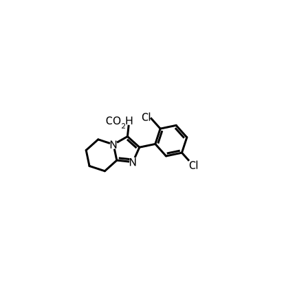 O=C(O)c1c(-c2cc(Cl)ccc2Cl)nc2n1CCCC2